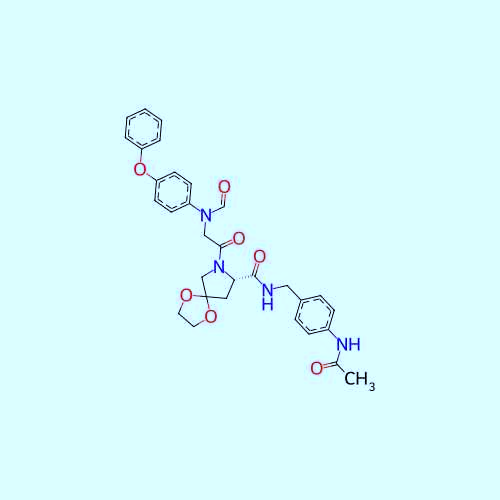 CC(=O)Nc1ccc(CNC(=O)[C@@H]2CC3(CN2C(=O)CN(C=O)c2ccc(Oc4ccccc4)cc2)OCCO3)cc1